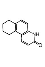 O=c1ccc2c3c(ccc2[nH]1)CCCC3